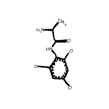 CC(N)C(=O)Nc1c(Cl)cc(Cl)cc1Cl